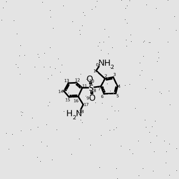 NCc1ccccc1S(=O)(=O)c1ccccc1CN